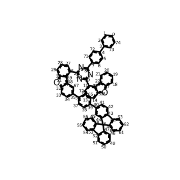 c1ccc(-c2ccc(-c3nc(-c4cccc5oc6ccccc6c45)nc(-c4cccc5oc6ccc(-c7ccc(-c8ccc9c(c8)C8(c%10ccccc%10-c%10ccccc%108)c8ccccc8-9)cc7)cc6c45)n3)cc2)cc1